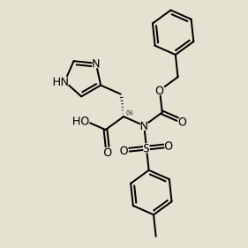 Cc1ccc(S(=O)(=O)N(C(=O)OCc2ccccc2)[C@@H](Cc2c[nH]cn2)C(=O)O)cc1